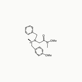 COc1ccc(C[C@@H](C)N(CC(=O)N(C)OC)Cc2ccccc2)cc1